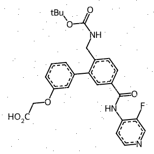 CC(C)(C)OC(=O)NCc1ccc(C(=O)Nc2ccncc2F)cc1-c1cccc(OCC(=O)O)c1